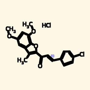 COc1cc(OC)c2oc(C(=O)/C=C/c3ccc(Cl)cc3)c(C)c2c1.Cl